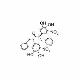 O=C(C(Cc1ccccc1)c1cc(O)c(O)c([N+](=O)[O-])c1)C(Cc1ccccc1)c1cc(O)c(O)c([N+](=O)[O-])c1